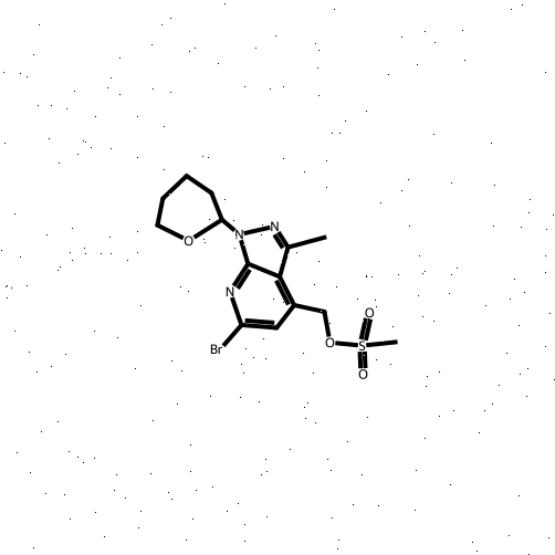 Cc1nn(C2CCCCO2)c2nc(Br)cc(COS(C)(=O)=O)c12